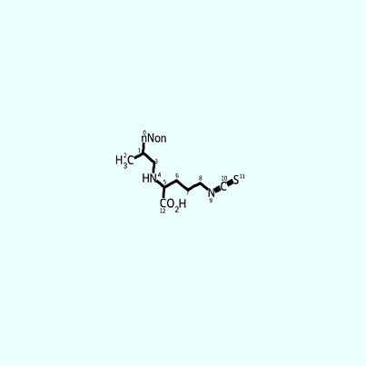 CCCCCCCCCC(C)CNC(CCCN=C=S)C(=O)O